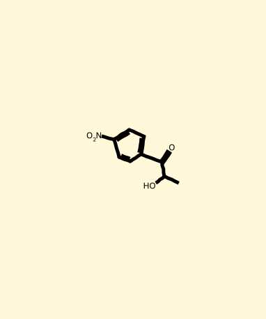 CC(O)C(=O)c1ccc([N+](=O)[O-])cc1